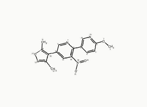 COc1ccc(-c2ncc(-c3c(C)noc3C)cc2[N+](=O)[O-])cn1